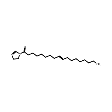 CCCCCCCCC=CCCCCCCCC(=O)N1C=NCC1